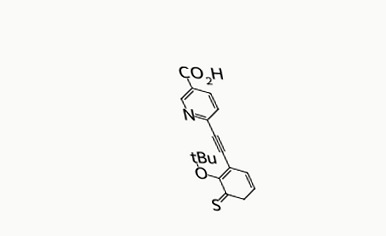 CC(C)(C)OC1=C(C#Cc2ccc(C(=O)O)cn2)C=CCC1=S